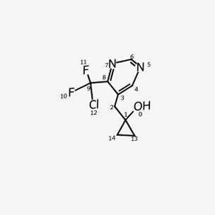 OC1(Cc2cncnc2C(F)(F)Cl)CC1